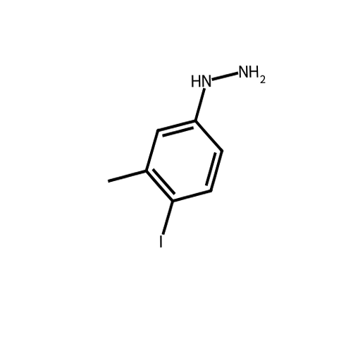 Cc1cc(NN)ccc1I